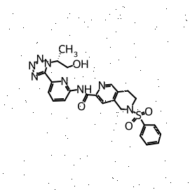 C[C@H](CO)n1nnnc1-c1cccc(NC(=O)c2cc3c(cn2)CCN(S(=O)(=O)c2ccccc2)C3)n1